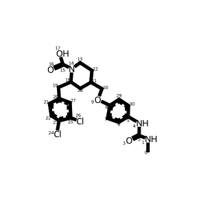 CNC(=O)Nc1ccc(OCC2CCN(C(=O)O)C(Cc3ccc(Cl)c(Cl)c3)C2)cc1